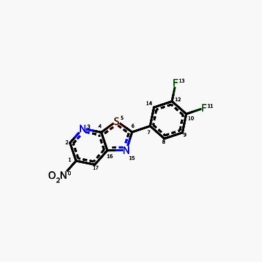 O=[N+]([O-])c1cnc2sc(-c3ccc(F)c(F)c3)nc2c1